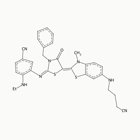 CCNc1ccc(C#N)cc1/N=C1/S/C(=C2\Sc3cc(NCCCC#N)ccc3N2C)C(=O)N1Cc1ccccc1